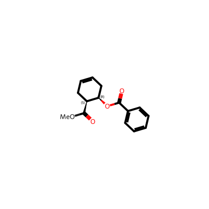 COC(=O)[C@H]1CC=CC[C@H]1OC(=O)c1ccccc1